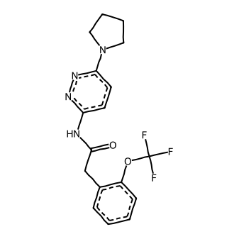 O=C(Cc1ccccc1OC(F)(F)F)Nc1ccc(N2CCCC2)nn1